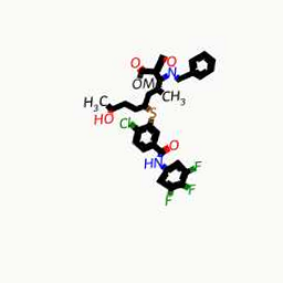 COC(=O)C1=CON(Cc2ccccc2)C1C(C)CC(CCC(C)O)Sc1cc(C(=O)Nc2cc(F)c(F)c(F)c2)ccc1Cl